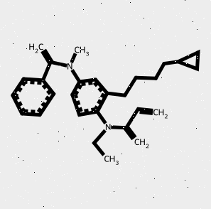 C=CC(=C)N(CC)c1ccc(N(C)C(=C)c2ccccc2)cc1CCCCC1CC1